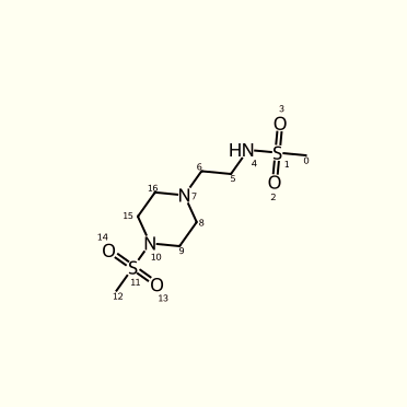 CS(=O)(=O)NCCN1CCN(S(C)(=O)=O)CC1